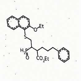 CCOC(=O)C(CCCc1ccccc1)C(CSc1c(OCC)ccc2ccccc12)[PH2]=O